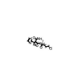 NC(=O)c1c(-c2nccs2)noc1NC(=O)CCCCl